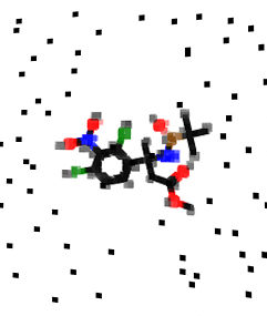 COC(=O)CC(C)(N[S@+]([O-])C(C)(C)C)c1ccc(F)c([N+](=O)[O-])c1Cl